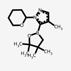 Cc1cnn(C2CCCCO2)c1B1CC(C)(C)C(C)(C)O1